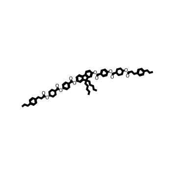 CCCCCC1(CCCCC)c2cc(OC(=O)c3ccc(OC(=O)C4CCC(OC(=O)CCc5ccc(CCC)cc5)CC4)cc3)ccc2-c2ccc(OC(=O)c3ccc(OC(=O)C4CCC(OC(=O)CCc5ccc(CCC)cc5)CC4)cc3)cc21